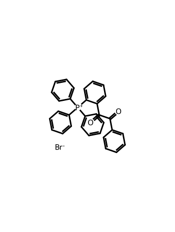 O=C(C(=O)c1ccccc1[P+](c1ccccc1)(c1ccccc1)c1ccccc1)c1ccccc1.[Br-]